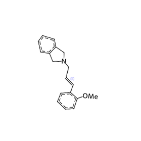 COc1ccccc1/C=C/CN1Cc2ccccc2C1